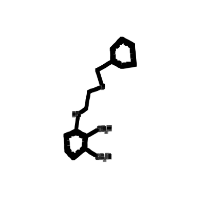 CCOC(=O)c1cccc(NCCOCc2ccccc2)c1C(=O)O